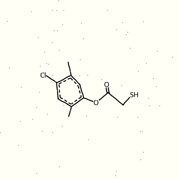 Cc1cc(OC(=O)CS)c(C)cc1Cl